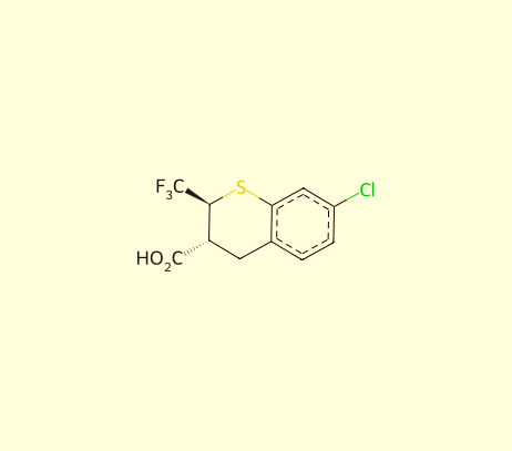 O=C(O)[C@H]1Cc2ccc(Cl)cc2S[C@@H]1C(F)(F)F